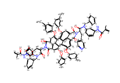 C=C(C)C(=O)Nc1cccc(N(Cc2ccccc2)C(=O)C(Cc2ccncc2)N2C(=O)c3cc(Oc4ccc(C(C)C)cc4)c4c5c(Oc6ccc(C(C)C)cc6)cc6c7c(cc(Oc8ccc(C(C)C)cc8)c(c8c(Oc9ccc(C(C)C)cc9)cc(c3c48)C2=O)c75)C(=O)N(C(Cc2ccncc2)C(=O)N(Cc2ccccc2)c2cccc(NC(=O)C(=C)C)c2)C6=O)c1